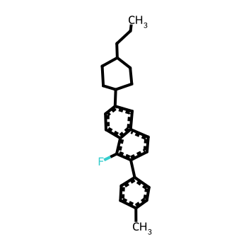 CCCC1CCC(c2ccc3c(F)c(-c4ccc(C)cc4)ccc3c2)CC1